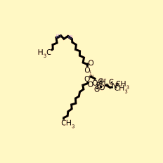 CCCC/C=C\C/C=C\CCCCCCCC(=O)OC[C@H](COP(=O)([O-])OCC[N+](C)(C)C)OC(=O)CCCCCCCCCCCC